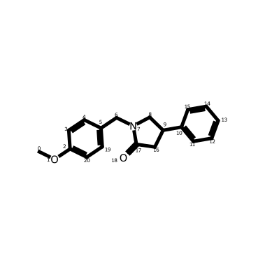 COc1ccc(CN2CC(c3ccccc3)CC2=O)cc1